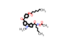 CCCCCCC(=O)Oc1ccc(C(=O)c2ccc3c(c2)c2cc(C(=O)/C(CCCCC)=N/OC(C)=O)ccc2n3CC)cc1